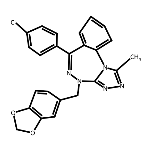 Cc1nnc2n1-c1ccccc1C(c1ccc(Cl)cc1)=NN2Cc1ccc2c(c1)OCO2